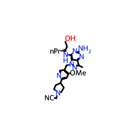 CCC[C@@H](CCO)Nc1nc(N)nc2c(C)nn(Cc3cnc(C4CCN(CC#N)CC4)cc3OC)c12